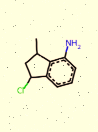 CC1CC(Cl)c2cccc(N)c21